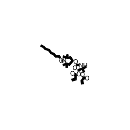 C=CC(=O)OCC(C)(COC(=O)C=C)NC(=O)OC1CC(C)(C)N(OCCCCCCCC)C(C)(C)C1